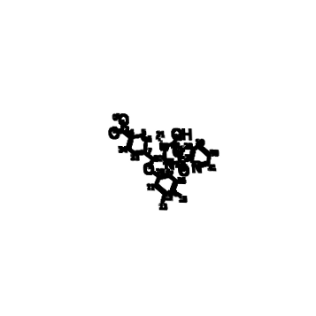 COC(=O)c1ccc(COc2cc(C)c(C)cc2N(C[C@H](C)CO)S(=O)(=O)c2ccccn2)cc1